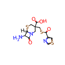 NC1C(=O)N2CC(CSC(=O)c3cscn3)(C(=O)O)CS[C@H]12